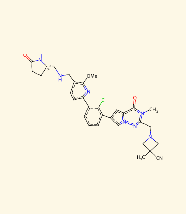 COc1nc(-c2cccc(-c3cc4c(=O)n(C)c(CN5CC(C)(C#N)C5)nn4c3)c2Cl)ccc1CNC[C@@H]1CCC(=O)N1